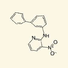 O=[N+]([O-])c1cccnc1Nc1cccc(-c2ccccc2)c1